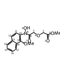 COC(=O)COCC(=O)N(O)c1ccc2ccccc2c1OC